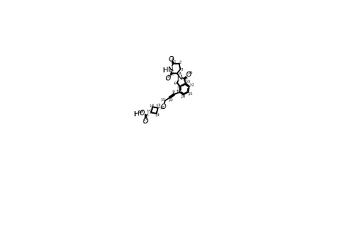 O=C1CCC(N2Cc3c(C#CCO[C@H]4C[C@@H](C(=O)O)C4)cccc3C2=O)C(=O)N1